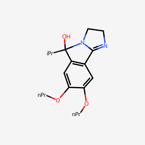 CCCOc1cc2c(cc1OCCC)C(O)(C(C)C)N1CCN=C21